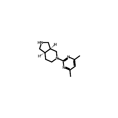 Cc1cc(C)nc(N2CC[C@H]3CNC[C@H]3C2)n1